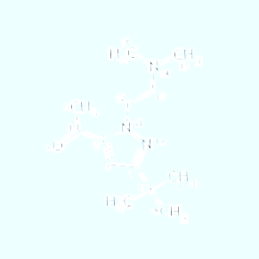 CC(=O)c1cc(C(C)(C)C)nn1CCN(C)C